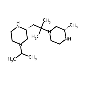 CC(C)N1CCN[C@H](CC(C)(C)N2CCN[C@@H](C)C2)C1